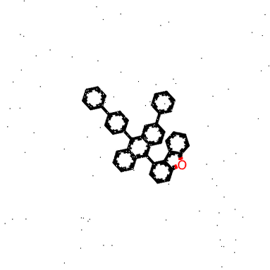 c1ccc(-c2ccc(-c3c4ccccc4c(-c4cccc5oc6ccccc6c45)c4ccc(-c5ccccc5)cc34)cc2)cc1